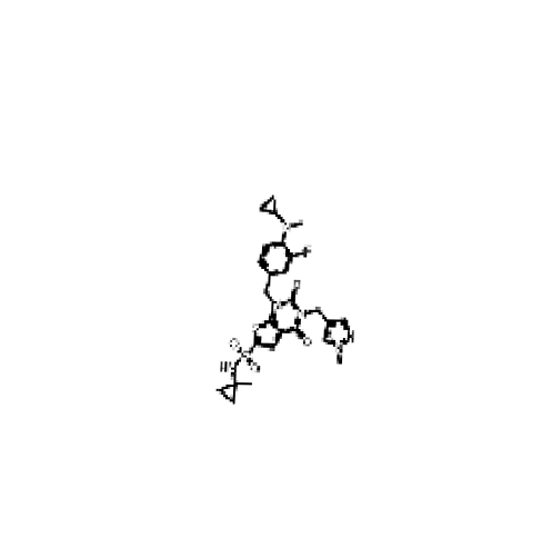 CN(c1ccc(Cn2c(=O)n(Cc3cnn(C)c3)c(=O)c3cc(S(=O)(=O)NC4(C)CC4)sc32)cc1F)C1CC1